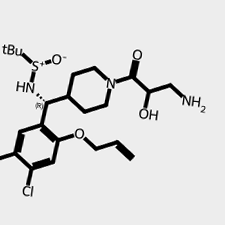 C=CCOc1cc(Cl)c(Cl)cc1[C@H](N[S+]([O-])C(C)(C)C)C1CCN(C(=O)C(O)CN)CC1